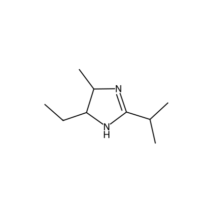 CCC1NC(C(C)C)=NC1C